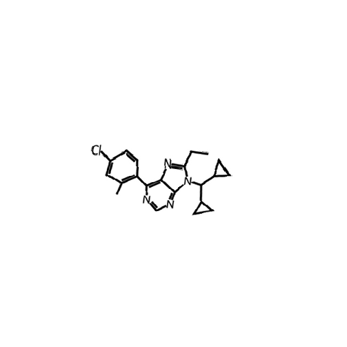 CCc1nc2c(-c3ccc(Cl)cc3C)ncnc2n1C(C1CC1)C1CC1